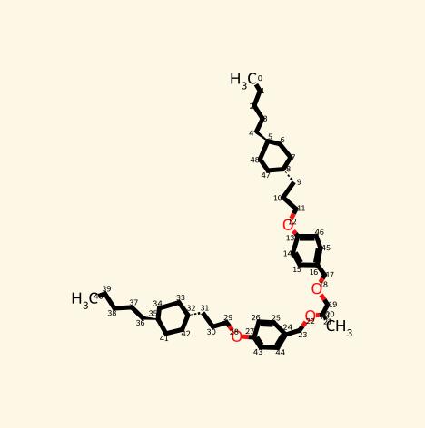 CCCCC[C@H]1CC[C@H](CCCOc2ccc(COC[C@@H](C)OCc3ccc(OCCC[C@H]4CC[C@H](CCCCC)CC4)cc3)cc2)CC1